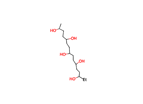 [CH2]CC(O)CCC(O)CCC(O)CCC(O)CCC(C)O